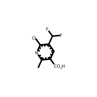 Cc1nc(Cl)c(C(F)F)cc1C(=O)O